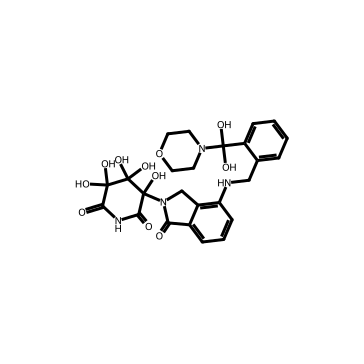 O=C1c2cccc(NCc3ccccc3C(O)(O)N3CCOCC3)c2CN1C1(O)C(=O)NC(=O)C(O)(O)C1(O)O